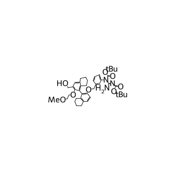 COCCOc1c(CO)cc2c(c1-c1c(OCc3cccc(N(C(=O)OC(C)(C)C)C(N)=NC(=O)OC(C)(C)C)c3)ccc3c1CCCC3)CCCC2